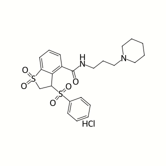 Cl.O=C(NCCCN1CCCCC1)c1cccc2c1C(S(=O)(=O)c1ccccc1)CS2(=O)=O